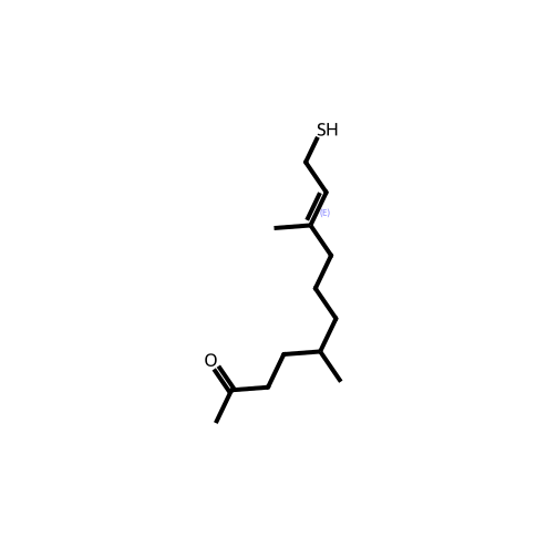 CC(=O)CCC(C)CCC/C(C)=C/CS